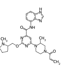 C=CC(=O)N1CCN(c2cc(C(=O)Nc3cccc4[nH]cnc34)nc(OCC3CCCN3C)n2)C(C)C1